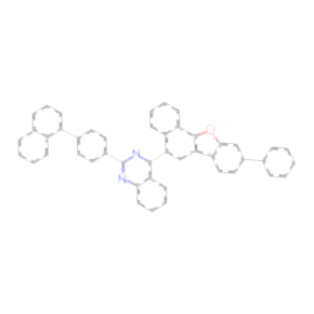 c1ccc(-c2ccc3c(c2)oc2c4ccccc4c(-c4nc(-c5ccc(-c6cccc7ccccc67)cc5)nc5ccccc45)cc32)cc1